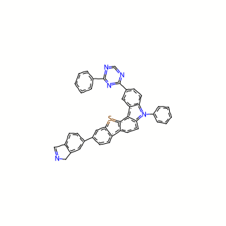 C1=NCc2cc(-c3ccc4c(c3)sc3c4ccc4c3c3cc(-c5ncnc(-c6ccccc6)n5)ccc3n4-c3ccccc3)ccc21